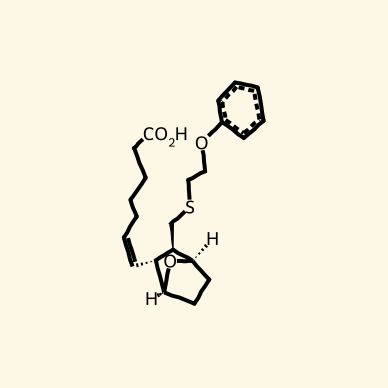 O=C(O)CCCC/C=C\[C@@H]1[C@@H](CSCCOc2ccccc2)[C@H]2CC[C@@H]1O2